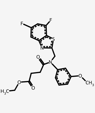 CCOC(=O)CCC(=O)N(Cc1nc2cc(F)cc(F)c2s1)c1cccc(OC)c1